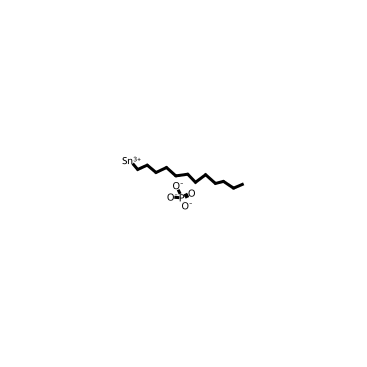 CCCCCCCCCCC[CH2][Sn+3].O=P([O-])([O-])[O-]